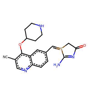 N#Cc1cnc2ccc(/C=S3/CC(=O)N=C3N)cc2c1OC1CCNCC1